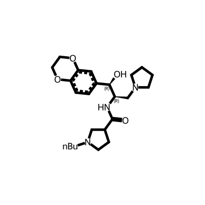 CCCCN1CCC(C(=O)N[C@H](CN2CCCC2)[C@H](O)c2ccc3c(c2)OCCO3)C1